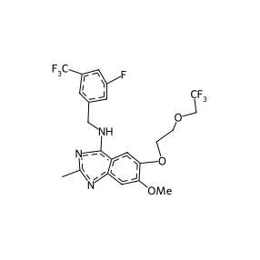 COc1cc2nc(C)nc(NCc3cc(F)cc(C(F)(F)F)c3)c2cc1OCCOCC(F)(F)F